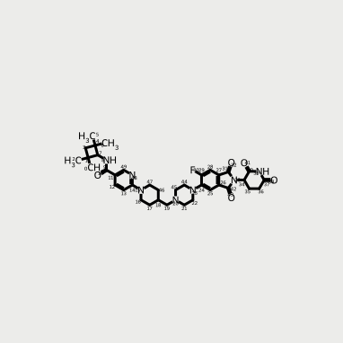 CC1(C)CC(C)(C)C1NC(=O)c1ccc(N2CCC(CN3CCN(c4cc5c(cc4F)C(=O)N(C4CCC(=O)NC4=O)C5=O)CC3)CC2)nc1